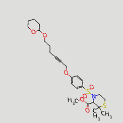 COC(=O)C1N(S(=O)(=O)c2ccc(OCC#CCCCOC3CCCCO3)cc2)CCSC1(C)C